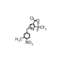 Cc1cc(Cn2cc(C(=O)Cl)c(C(F)(F)C(F)(F)F)n2)ccc1[N+](=O)[O-]